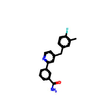 Cc1cc(Cc2ccnc(-c3cccc(C(N)=O)c3)c2)ccc1F